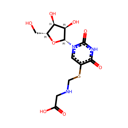 O=C(O)CNCSc1cn([C@@H]2O[C@H](CO)[C@@H](O)[C@H]2O)c(=O)[nH]c1=O